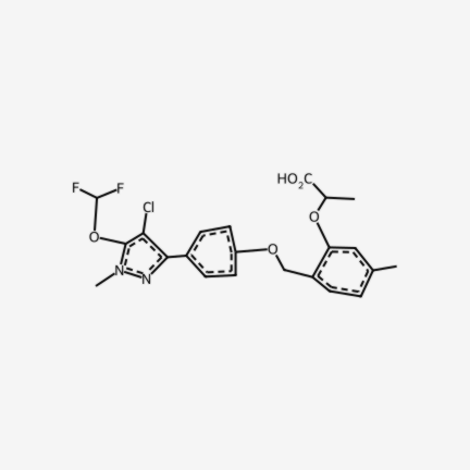 Cc1ccc(COc2ccc(-c3nn(C)c(OC(F)F)c3Cl)cc2)c(OC(C)C(=O)O)c1